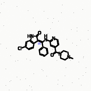 CN1CCN(C(=O)c2ccnc(N/C(=C3\C(=O)Nc4cc(Cl)ccc43)c3ccccc3)c2)CC1